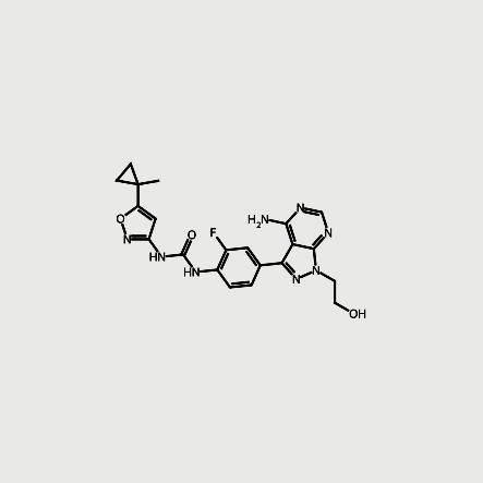 CC1(c2cc(NC(=O)Nc3ccc(-c4nn(CCO)c5ncnc(N)c45)cc3F)no2)CC1